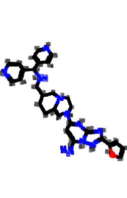 Nc1cc(N2CCN3CC(CNC(c4ccncc4)c4ccncc4)CCC3C2)nc2nc(-c3ccco3)nn12